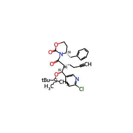 C#CCC[C@@H](C(=O)N1C(=O)OCC[C@@H]1Cc1ccccc1)[C@H](O[Si](C)(C)C(C)(C)C)c1ccc(Cl)nc1